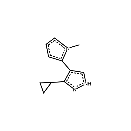 Cn1cccc1-c1c[nH]nc1C1CC1